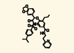 CCCc1cc(C(=O)NCCc2ccccn2)ccc1OC(C(=O)NS(=O)(=O)c1ccc(C(C)C)cc1)c1ccc2c(c1)OCO2